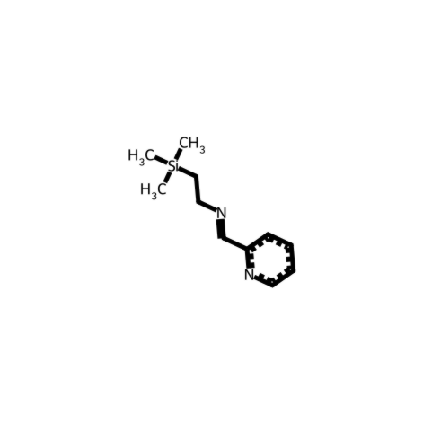 C[Si](C)(C)CC/N=C/c1ccccn1